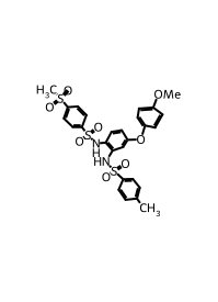 COc1ccc(Oc2ccc(NS(=O)(=O)c3ccc(S(C)(=O)=O)cc3)c(NS(=O)(=O)c3ccc(C)cc3)c2)cc1